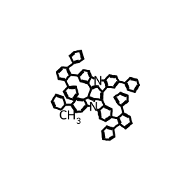 CC1C=CC=CC1c1ccc2c(c1)c1c3c4cc(-c5c(-c6ccccc6)cccc5-c5ccccc5)ccc4n4c5ccc(-c6ccccc6)cc5c(c5c6cc(-c7c(-c8ccccc8)cccc7-c7ccccc7)ccc6n2c51)c34